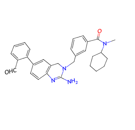 CN(C(=O)c1cccc(CN2Cc3cc(-c4ccccc4C=O)ccc3N=C2N)c1)C1CCCCC1